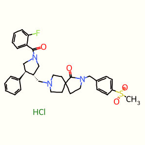 CS(=O)(=O)c1ccc(CN2CCC3(CCN(C[C@H]4CN(C(=O)c5ccccc5F)C[C@@H]4c4ccccc4)CC3)C2=O)cc1.Cl